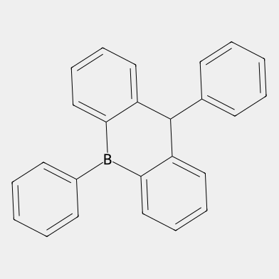 c1ccc(B2c3ccccc3C(c3ccccc3)c3ccccc32)cc1